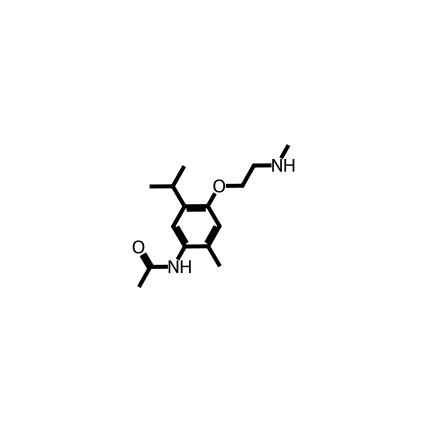 CNCCOc1cc(C)c(NC(C)=O)cc1C(C)C